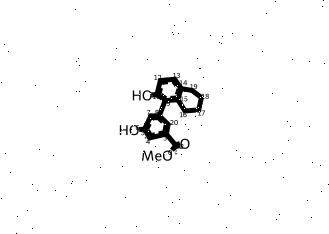 COC(=O)c1[c]c(O)cc(-c2c(O)ccc3c2CCCC3)c1